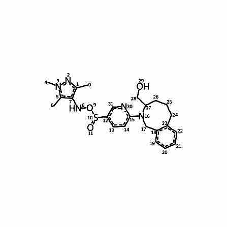 Cc1nn(C)c(C)c1NOS(=O)c1ccc(N2Cc3ccccc3CCCC2CO)nc1